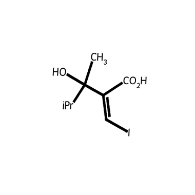 CC(C)C(C)(O)C(=CI)C(=O)O